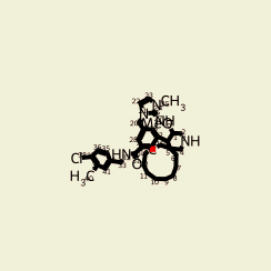 COC1CNCC2(CCCCCCCCCC2)C1c1cc(Cn2ccn(C)c2=N)cc(C(=O)NCc2ccc(Cl)c(C)c2)c1